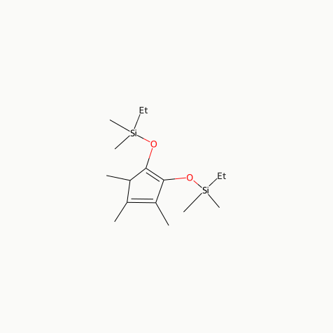 CC[Si](C)(C)OC1=C(O[Si](C)(C)CC)C(C)C(C)=C1C